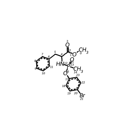 COC(=O)C(Cc1ccccc1)NP(C)(=O)Oc1ccc(Br)cc1